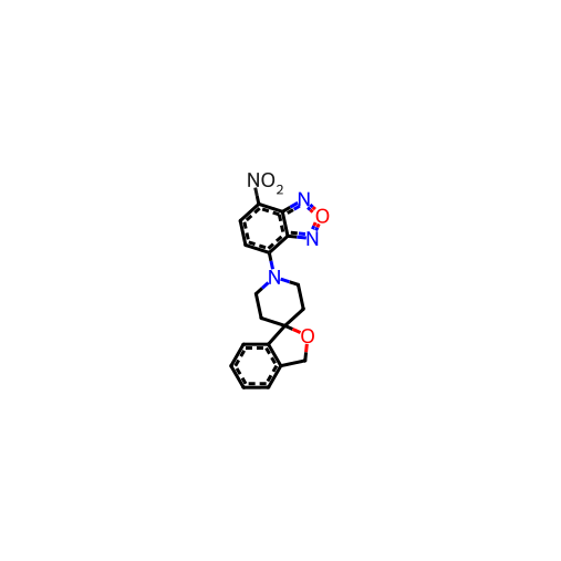 O=[N+]([O-])c1ccc(N2CCC3(CC2)OCc2ccccc23)c2nonc12